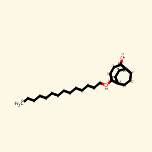 [CH2]CCCCCCCCCCCCCOC1CCC([O])C2CCCC1CC2